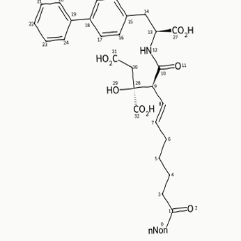 CCCCCCCCCC(=O)CCCC/C=C/[C@H](C(=O)N[C@@H](Cc1ccc(-c2ccccc2)cc1)C(=O)O)[C@@](O)(CC(=O)O)C(=O)O